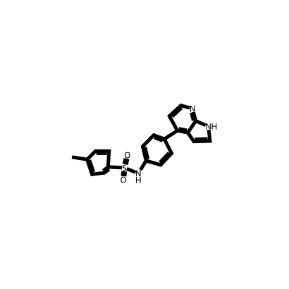 Cc1ccc(S(=O)(=O)Nc2ccc(-c3ccnc4[nH]ccc34)cc2)cc1